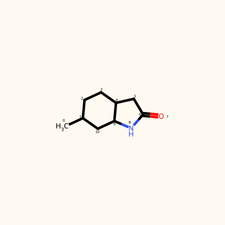 CC1CCC2CC(=O)NC2C1